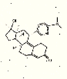 CN(C)c1ccc([C@H]2C[C@@]3(C)[C@H](CC[C@@]3(C)O)[C@@H]3CCC4=CC(=O)CCC4=C32)cc1